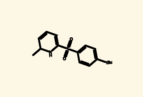 CC1C=C[C]=C(S(=O)(=O)c2ccc(C(C)(C)C)cc2)N1